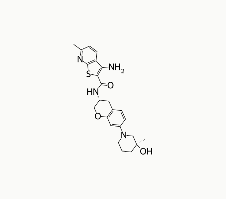 Cc1ccc2c(N)c(C(=O)N[C@H]3COc4cc(N5CCC[C@](C)(O)C5)ccc4C3)sc2n1